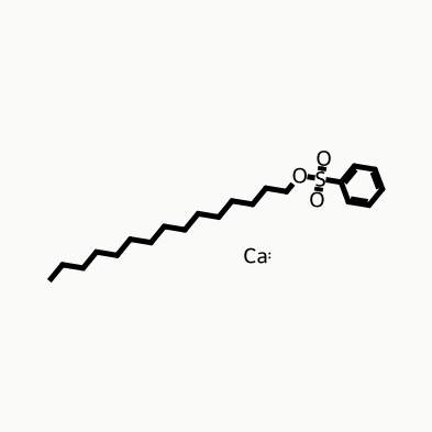 CCCCCCCCCCCCCCCOS(=O)(=O)c1ccccc1.[Ca]